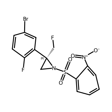 O=[N+]([O-])c1ccccc1S(=O)(=O)N1C[C@@]1(CF)c1cc(Br)ccc1F